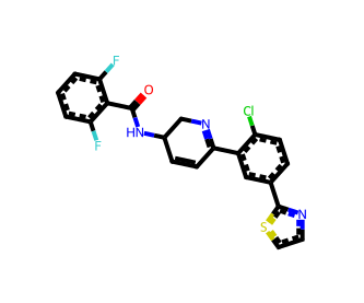 O=C(NC1C=CC(c2cc(-c3nccs3)ccc2Cl)=NC1)c1c(F)cccc1F